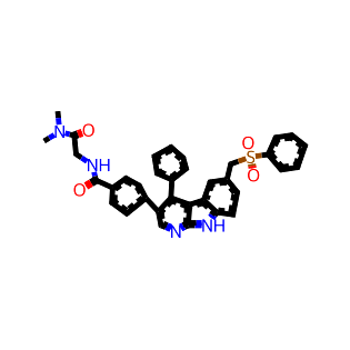 CN(C)C(=O)CNC(=O)c1ccc(-c2cnc3[nH]c4ccc(CS(=O)(=O)c5ccccc5)cc4c3c2-c2ccccc2)cc1